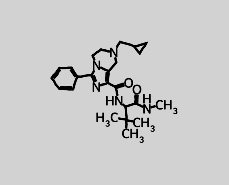 CNC(=O)C(NC(=O)c1nc(-c2ccccc2)n2c1CN(CC1CC1)CC2)C(C)(C)C